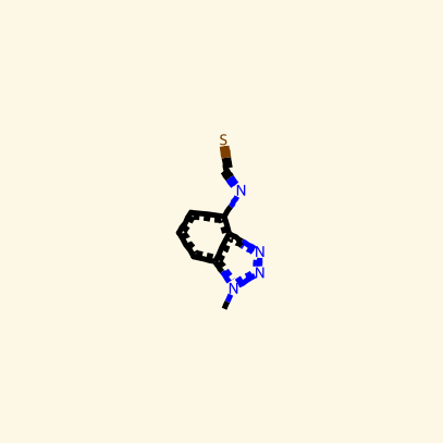 Cn1nnc2c(N=C=S)cccc21